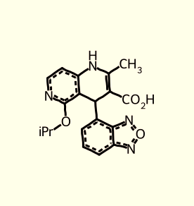 CC1=C(C(=O)O)C(c2cccc3nonc23)c2c(ccnc2OC(C)C)N1